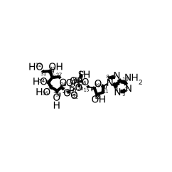 Nc1ncnc2c1ncn2[C@H]1C[C@H](O)[C@@H](COP(=O)(S)OP(=O)(O)OC2OCC([C@@H](O)CO)C(O)C(O)C2O)O1